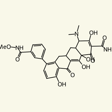 CONC(=O)c1cccc(-c2ccc(O)c3c2CC2CC4C(N(C)C)C(O)=C(C(N)=O)C(=O)C4(O)C(O)=C2C3=O)c1